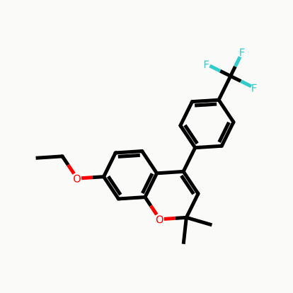 CCOc1ccc2c(c1)OC(C)(C)C=C2c1ccc(C(F)(F)F)cc1